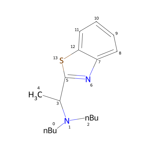 CCCCN(CCCC)C(C)c1nc2ccccc2s1